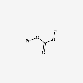 CCOC(=O)OC(C)C